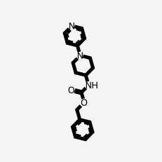 O=C(NC1CCN(c2ccncc2)CC1)OCc1ccccc1